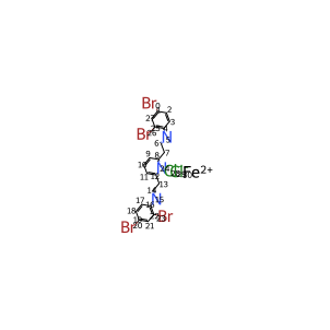 Brc1ccc(N=CCc2cccc(CC=Nc3ccc(Br)cc3Br)n2)c(Br)c1.[Cl-].[Cl-].[Fe+2]